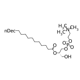 CCCCCCCCCCCCCCCCCCCCC(=O)O[C@@H](CO)COP(=O)([O-])OCC[N+](C)(C)C